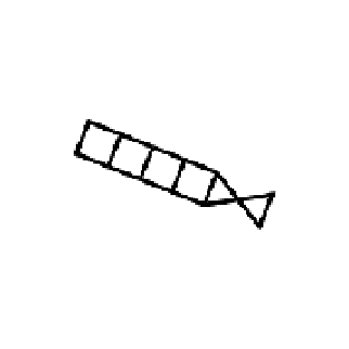 C1CC2C1C1C2C2C1C1C2C12CC2